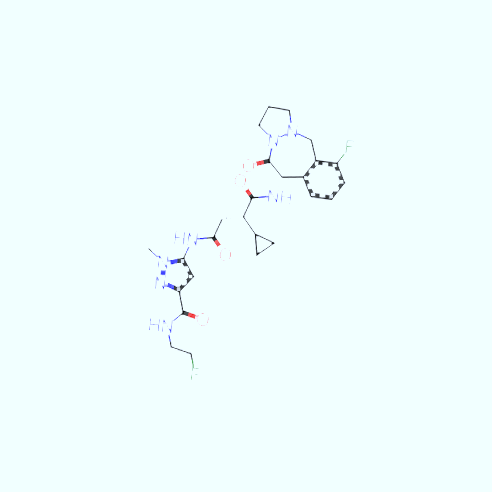 C[C@@H](CF)NC(=O)c1cc(NC(=O)C[C@H](C(=O)N[C@@H]2C(=O)N3CCCN3Cc3c(F)cccc32)C2CC2)n(C)n1